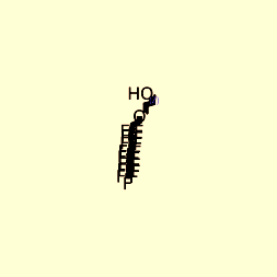 O/C=C\CCOCCC(F)(F)C(F)(F)C(F)(F)C(F)(F)C(F)(F)C(F)(F)C(F)(F)C(F)(F)F